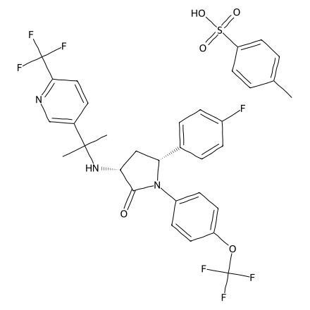 CC(C)(N[C@@H]1C[C@H](c2ccc(F)cc2)N(c2ccc(OC(F)(F)F)cc2)C1=O)c1ccc(C(F)(F)F)nc1.Cc1ccc(S(=O)(=O)O)cc1